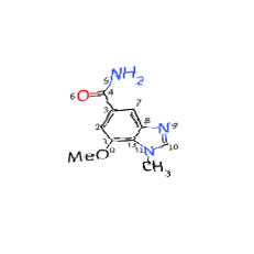 COc1cc(C(N)=O)cc2ncn(C)c12